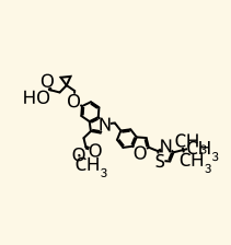 COC(=O)Cc1cn(Cc2ccc3oc(-c4nc(C(C)(C)C)cs4)cc3c2)c2ccc(OCC3(CC(=O)O)CC3)cc12